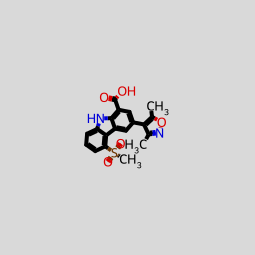 Cc1noc(C)c1-c1cc(C(=O)O)c2[nH]c3cccc(S(C)(=O)=O)c3c2c1